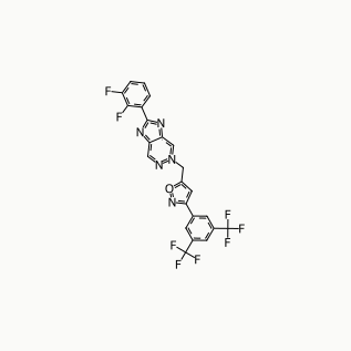 Fc1cccc(-c2nc3cnn(Cc4cc(-c5cc(C(F)(F)F)cc(C(F)(F)F)c5)no4)cc-3n2)c1F